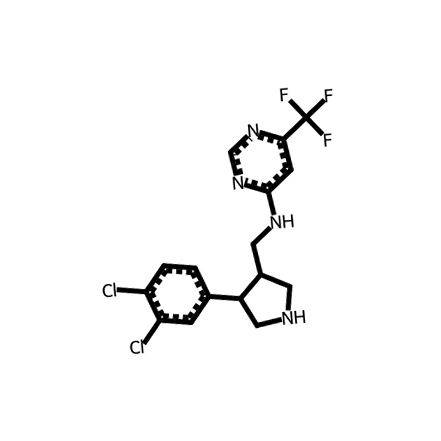 FC(F)(F)c1cc(NCC2CNCC2c2ccc(Cl)c(Cl)c2)ncn1